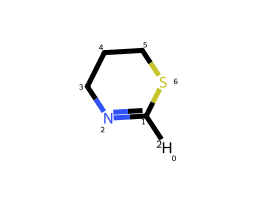 [2H]C1=NCCCS1